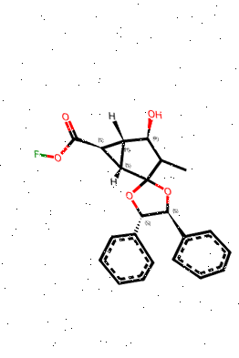 CC1[C@H](O)[C@H]2[C@H](C(=O)OF)[C@H]2C12O[C@@H](c1ccccc1)[C@H](c1ccccc1)O2